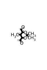 CC1C(C=O)OC(C)(C)OC1C=O